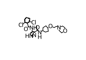 O=C(NC1CCC(OCCN2CCOCC2)CC1)c1n[nH]cc1NC(=O)c1c(Cl)cccc1Cl